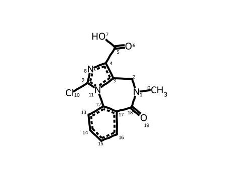 CN1Cc2c(C(=O)O)nc(Cl)n2-c2ccccc2C1=O